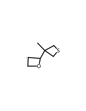 CC1(C2[CH]CO2)CSC1